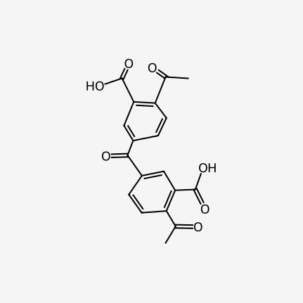 CC(=O)c1ccc(C(=O)c2ccc(C(C)=O)c(C(=O)O)c2)cc1C(=O)O